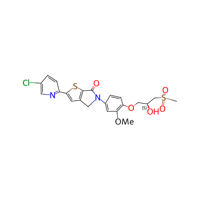 COc1cc(N2Cc3cc(-c4ccc(Cl)cn4)sc3C2=O)ccc1OC[C@H](O)CS(C)(=O)=O